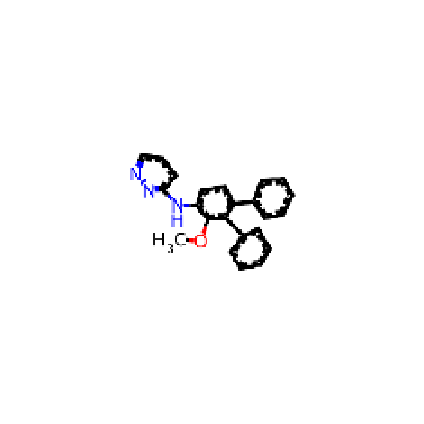 COc1c(Nc2cccnn2)ccc(-c2ccccc2)c1-c1ccccc1